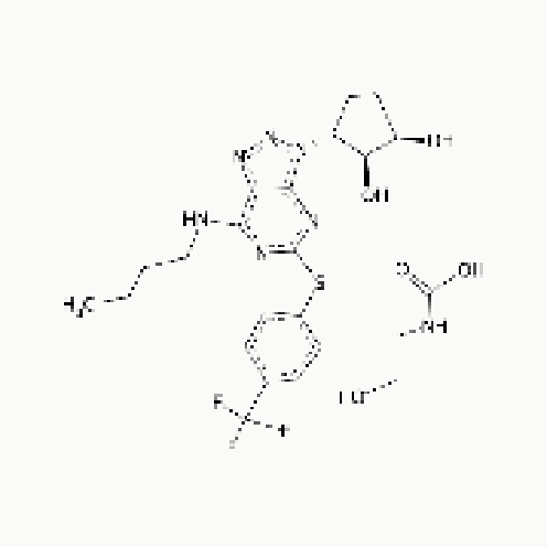 CCCCNc1nc(Sc2ccc(C(F)(F)F)cc2)nc2c1nnn2[C@@H]1CC[C@@H](O)[C@H]1O.O=C(O)NCCO